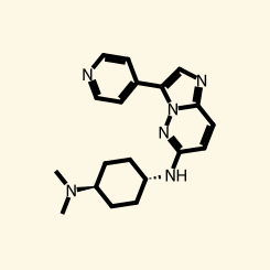 CN(C)[C@H]1CC[C@H](Nc2ccc3ncc(-c4ccncc4)n3n2)CC1